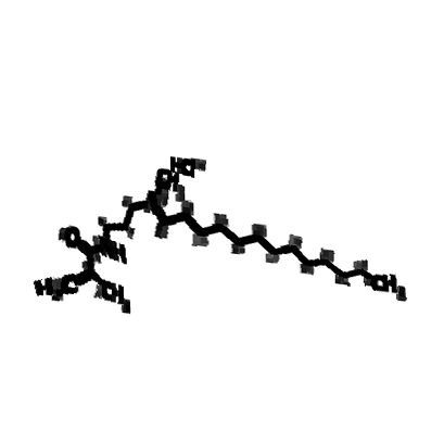 C=C(C)C(=O)NCCCN(C)CCCCCCCCCCCCC.Cl